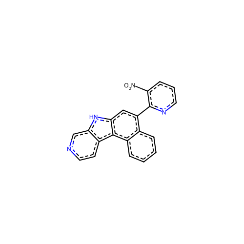 O=[N+]([O-])c1cccnc1-c1cc2[nH]c3cnccc3c2c2ccccc12